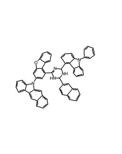 c1ccc(-n2c3ccccc3c3c(C4N=C(c5cc(-n6c7ccccc7c7cc8ccccc8cc76)cc6oc7ccccc7c56)NC(c5ccc6ccccc6c5)N4)cccc32)cc1